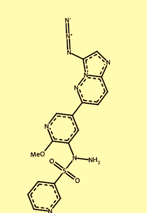 COc1ncc(-c2ccc3ncc(N=[N+]=[N-])n3n2)cc1N(N)S(=O)(=O)c1cccnc1